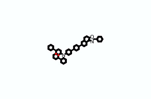 c1ccc(-c2ccc(N(c3ccc(-c4ccc(-c5ccc6c(ccc7oc(-c8ccccc8)nc76)c5)cc4)cc3)c3ccccc3-c3ccccc3)cc2)cc1